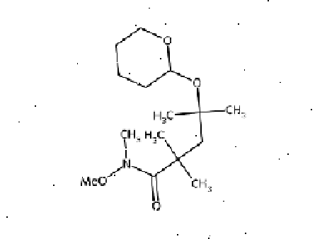 CON(C)C(=O)C(C)(C)CC(C)(C)OC1CCCCO1